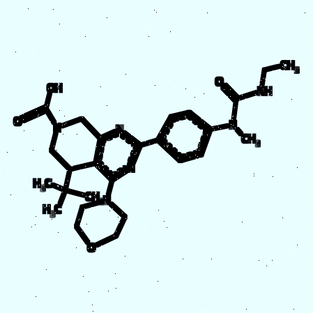 CCNC(=O)N(C)c1ccc(-c2nc3c(c(N4CCOCC4)n2)C(C(C)(C)C)CN(C(=O)O)C3)cc1